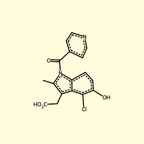 Cc1c(CC(=O)O)c2c(Cl)c(O)ccc2n1C(=O)c1ccncc1